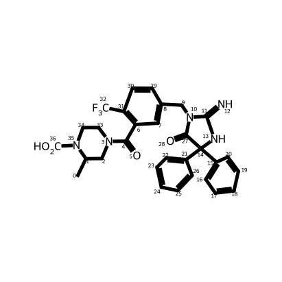 CC1CN(C(=O)c2cc(CN3C(=N)NC(c4ccccc4)(c4ccccc4)C3=O)ccc2C(F)(F)F)CCN1C(=O)O